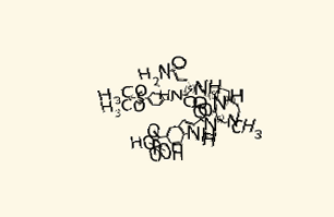 CC(C)S(=O)(=O)c1ccc(CNC(=O)[C@H](CCC(N)=O)NC(=O)[C@@H]2CC[C@@H]3CCN(C)C[C@H](NC(=O)c4cc5cc(C(=O)P(=O)(O)O)ccc5[nH]4)C(=O)N32)cc1